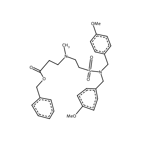 COc1ccc(CN(Cc2ccc(OC)cc2)S(=O)(=O)CCN(C)CCC(=O)OCc2ccccc2)cc1